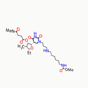 CC[C@H]1O[C@@H](c2cn(CCCNCCCCCCNC(=O)OC)c(=O)[nH]c2=O)[C@@H](OC(=O)CCC(=O)NC)C1C